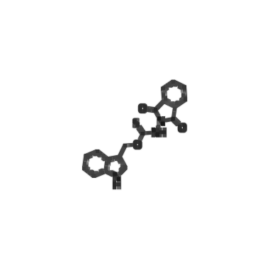 O=C1c2ccccc2C(=O)N1NC(=S)OCc1c[nH]c2ccccc12